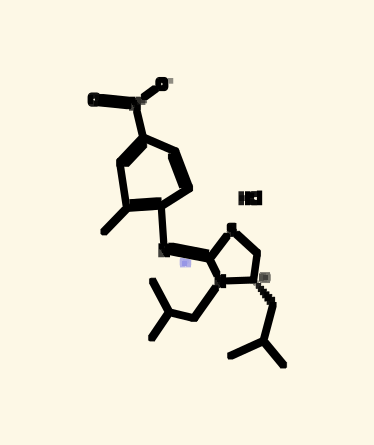 Cc1cc([N+](=O)[O-])ccc1/N=C1\SC[C@H](CC(C)C)N1CC(C)C.Cl